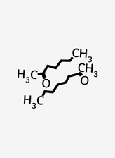 CCCCCC(C)=O.CCCCCCC(C)=O